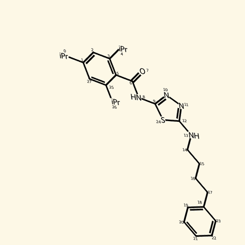 CC(C)c1cc(C(C)C)c(C(=O)Nc2nnc(NCCCCc3ccccc3)s2)c(C(C)C)c1